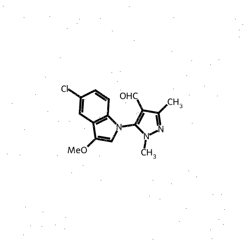 COc1cn(-c2c(C=O)c(C)nn2C)c2ccc(Cl)cc12